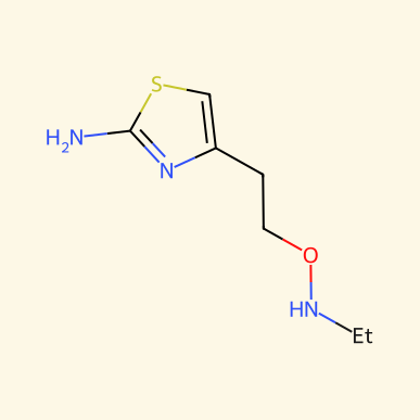 CCNOCCc1csc(N)n1